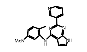 CNc1ccc(C)c(Nc2nc(-c3cccnc3)nc3[nH]ccc23)c1